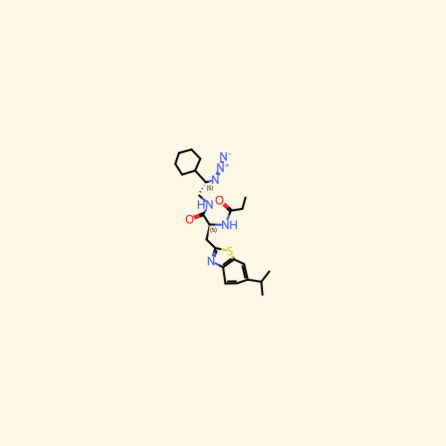 CCC(=O)N[C@@H](Cc1nc2ccc(C(C)C)cc2s1)C(=O)NC[C@@H](N=[N+]=[N-])C1CCCCC1